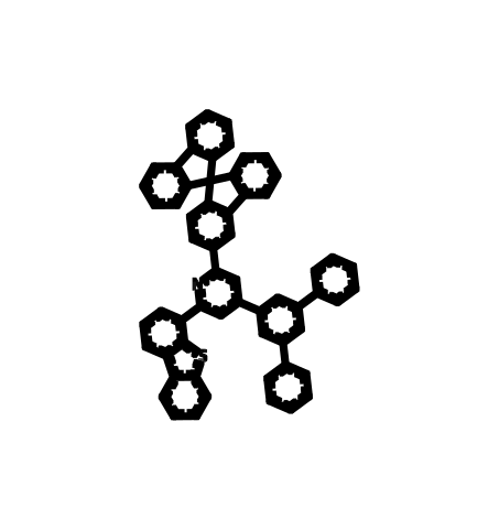 c1ccc(-c2cc(-c3ccccc3)cc(-c3cc(-c4ccc5c(c4)-c4ccccc4C54c5ccccc5-c5ccccc54)nc(-c4cccc5c4sc4ccccc45)c3)c2)cc1